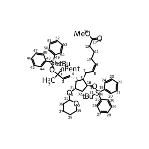 CCCCCC(C)(/C=C/[C@@H]1[C@@H](C/C=C\CCCC(=O)OC)[C@@H](O[Si](c2ccccc2)(c2ccccc2)C(C)(C)C)C[C@H]1OC1CCCCO1)O[Si](c1ccccc1)(c1ccccc1)C(C)(C)C